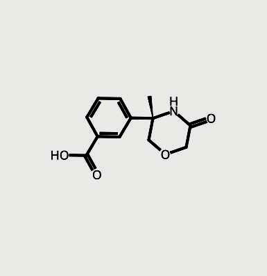 C[C@]1(c2cccc(C(=O)O)c2)COCC(=O)N1